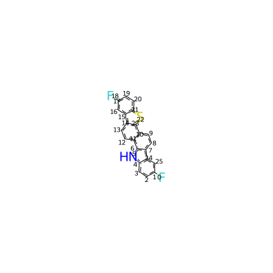 Fc1ccc2[nH]c3c(ccc4c3ccc3c5cc(F)ccc5sc34)c2c1